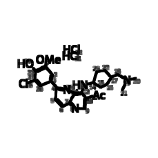 COc1cc(-c2ccc3ncc(C(C)=O)c(NC4CCC(CN(C)C)CC4)c3n2)cc(Cl)c1O.Cl.Cl